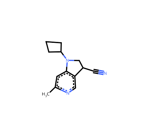 Cc1cc2c(cn1)C(C#N)CN2C1CCC1